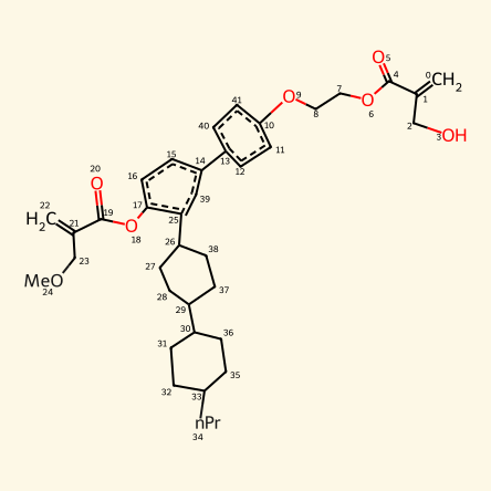 C=C(CO)C(=O)OCCOc1ccc(-c2ccc(OC(=O)C(=C)COC)c(C3CCC(C4CCC(CCC)CC4)CC3)c2)cc1